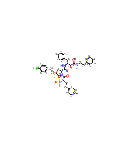 CS(=O)(=O)N[C@H](CCC1CCNCC1)C(=O)N1C[C@H](OCc2ccc(Cl)cc2)C[C@H]1C(=O)N[C@@H](Cc1ccccc1)C(=O)C(=O)NCCc1ccccn1